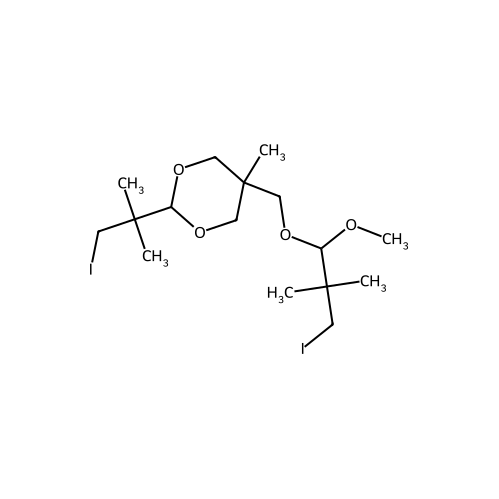 COC(OCC1(C)COC(C(C)(C)CI)OC1)C(C)(C)CI